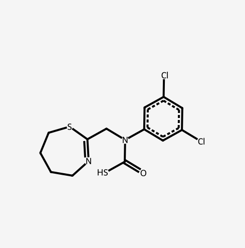 O=C(S)N(CC1=NCCCCS1)c1cc(Cl)cc(Cl)c1